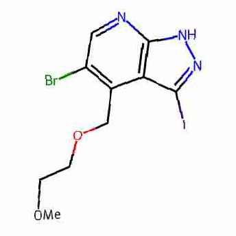 COCCOCc1c(Br)cnc2[nH]nc(I)c12